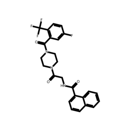 O=C(NCC(=O)N1CCN(C(=O)c2cc(F)ccc2C(F)(F)F)CC1)c1cccc2ccccc12